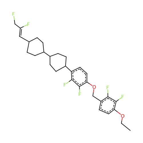 CCOc1ccc(COc2ccc(C3CCC(C4CCC(/C=C(\F)CF)CC4)CC3)c(F)c2F)c(F)c1F